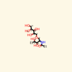 CCC(=O)NC(COCC(O)C(O)C(O)CO)C(O)C(O)CC